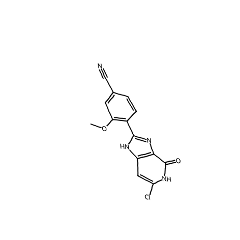 COc1cc(C#N)ccc1-c1nc2c(=O)[nH]c(Cl)cc2[nH]1